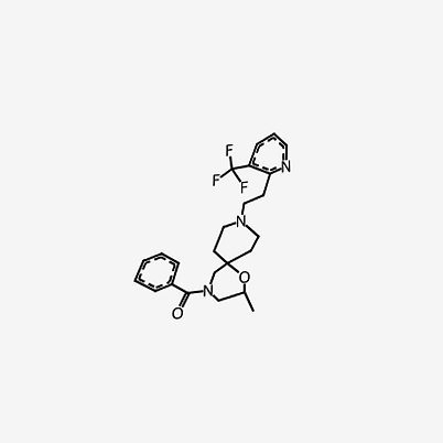 CC1CN(C(=O)c2ccccc2)CC2(CCN(CCc3ncccc3C(F)(F)F)CC2)O1